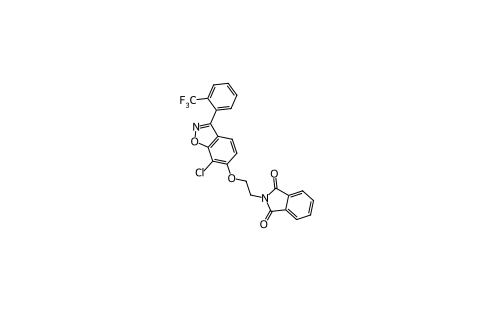 O=C1c2ccccc2C(=O)N1CCOc1ccc2c(-c3ccccc3C(F)(F)F)noc2c1Cl